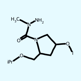 CC(C)OCC1CC(OI)CN1C(=O)N(C)N